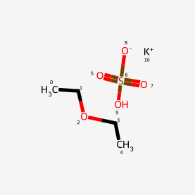 CCOCC.O=S(=O)([O-])O.[K+]